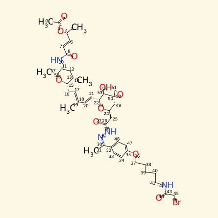 CC(=O)OC(C)C=CC(=O)N[C@@H]1C[C@H](C)[C@H](CC=C(C)C=C[C@H]2O[C@H](CC(=O)NN=C(C)c3ccc(OCCCCCNC(=O)CBr)cc3)C[C@@]3(CO3)[C@@H]2O)O[C@@H]1C